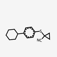 N#CC1(Sc2ccc(C3CCCCC3)cc2)CC1